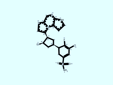 CC[C@@H]1C[C@H](C2CC(S(N)(=O)=O)=CC(Cl)=C2F)C[C@@H]1c1cnc2cnc3[nH]ccc3n12